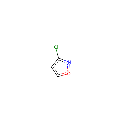 Clc1ccon1